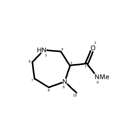 CNC(=O)C1CNCCCN1C